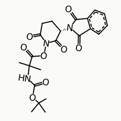 CC(C)(C)OC(=O)NC(C)(C)C(=O)ON1C(=O)CC[C@H](N2C(=O)c3ccccc3C2=O)C1=O